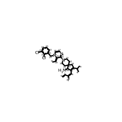 C=C/C(F)=C\C1=C(C(C)C)CC2(CCN(C3=NC=CN(Cc4cccc(Cl)c4Cl)/C3=C\C)CC2)C1N